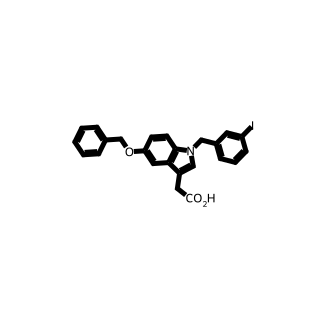 O=C(O)Cc1cn(Cc2cccc(I)c2)c2ccc(OCc3ccccc3)cc12